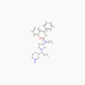 CC(C1CCCNC1)N1CCC(N(C)C(=O)CC(c2ccccc2)c2ccccc2)C1